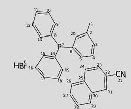 Br.Cc1cccc(P(c2ccccc2)c2ccccc2)c1.N#Cc1ccc2ccccc2c1